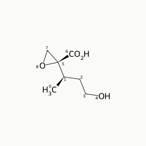 C[C@H](CCO)[C@@]1(C(=O)O)CO1